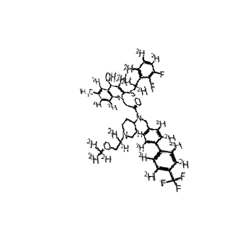 [2H]C1=C(SC([2H])([2H])c2c([2H])c([2H])c([2H])c(F)c2F)N(CC(=O)N(Cc2c([2H])c([2H])c(-c3c([2H])c([2H])c(C(F)(F)F)c([2H])c3[2H])c([2H])c2[2H])C2CCN(C([2H])([2H])COC([2H])([2H])[2H])CC2)c2c([2H])c([2H])c(C)c([2H])c2C1O